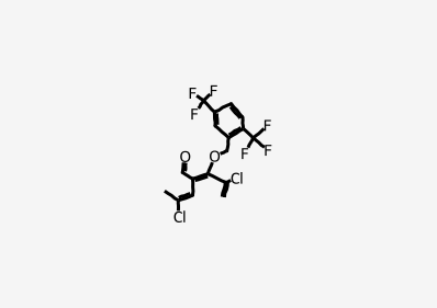 C=C(Cl)/C(OCc1cc(C(F)(F)F)ccc1C(F)(F)F)=C(C=O)\C=C(/C)Cl